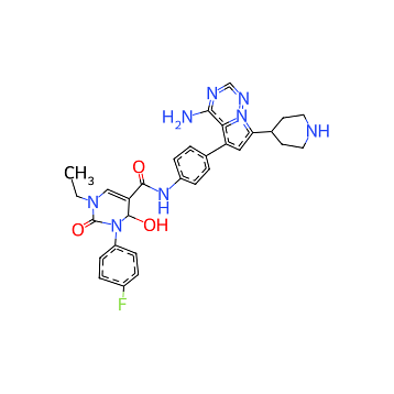 CCN1C=C(C(=O)Nc2ccc(-c3cc(C4CCNCC4)n4ncnc(N)c34)cc2)C(O)N(c2ccc(F)cc2)C1=O